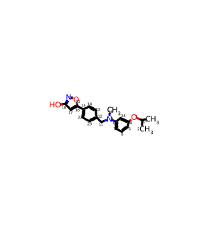 CC(C)Oc1cccc(N(C)Cc2ccc(-c3cc(O)no3)cc2)c1